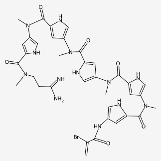 C=C(Br)C(=O)Nc1c[nH]c(C(=O)N(C)c2c[nH]c(C(=O)N(C)c3c[nH]c(C(=O)N(C)c4c[nH]c(C(=O)N(C)c5c[nH]c(C(=O)N(C)CCC(=N)N)c5)c4)c3)c2)c1